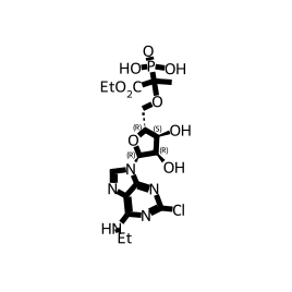 CCNc1nc(Cl)nc2c1ncn2[C@@H]1O[C@H](COC(C)(C(=O)OCC)P(=O)(O)O)[C@@H](O)[C@H]1O